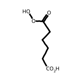 O=C(O)CCCCC(=O)OO